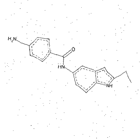 CCc1cc2cc(NC(=O)c3ccc(N)cc3)ccc2[nH]1